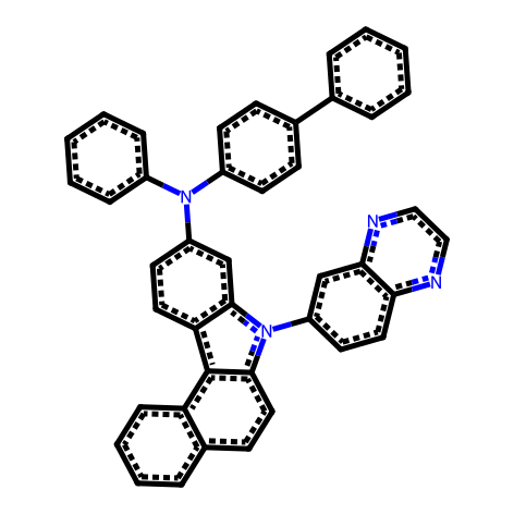 c1ccc(-c2ccc(N(c3ccccc3)c3ccc4c5c6ccccc6ccc5n(-c5ccc6nccnc6c5)c4c3)cc2)cc1